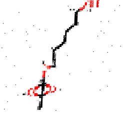 CC12OC1(OCCCCCCO)O2